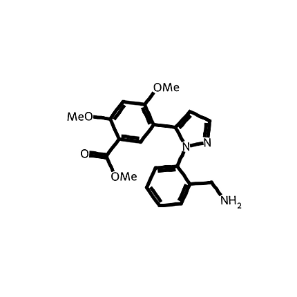 COC(=O)c1cc(-c2ccnn2-c2ccccc2CN)c(OC)cc1OC